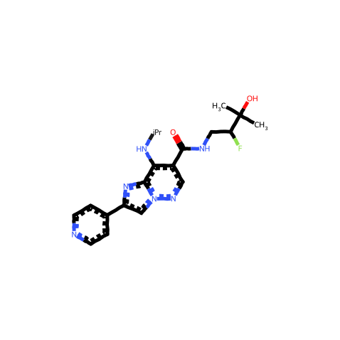 CC(C)Nc1c(C(=O)NCC(F)C(C)(C)O)cnn2cc(-c3ccncc3)nc12